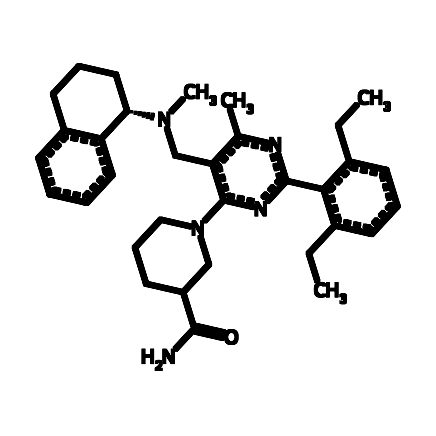 CCc1cccc(CC)c1-c1nc(C)c(CN(C)[C@H]2CCCc3ccccc32)c(N2CCCC(C(N)=O)C2)n1